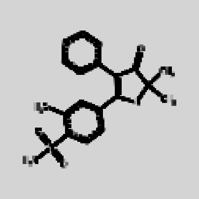 Cc1cc(C2=C(c3ccccc3)C(=O)C(C)(C)O2)ccc1S(N)(=O)=O